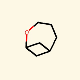 C1COC2CC(C1)C2